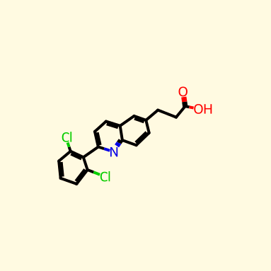 O=C(O)CCc1ccc2nc(-c3c(Cl)cccc3Cl)ccc2c1